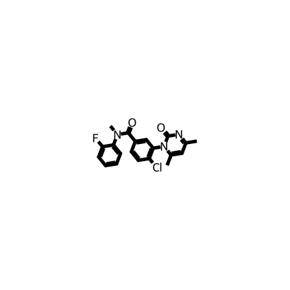 Cc1cc(C)n(-c2cc(C(=O)N(C)c3ccccc3F)ccc2Cl)c(=O)n1